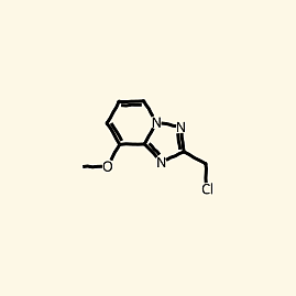 COc1cccn2nc(CCl)nc12